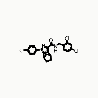 O=C(NCc1ccc(Cl)cc1Cl)c1nn(-c2ccc(Cl)cc2)c2c1C1CCC2C1